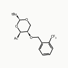 CC(=O)[C@H]1O[C@@H](C(C)(C)C)OC[C@H]1OCc1ccccc1C(F)(F)F